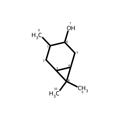 CC1CC2C(CC1O)C2(C)C